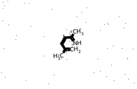 C=C(C)/C=C\C(C)=N